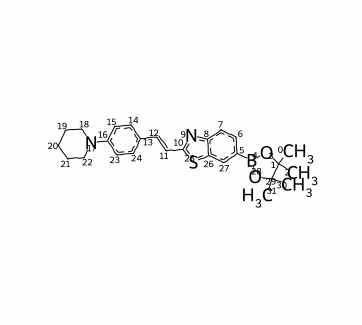 CC1(C)OB(c2ccc3nc(C=Cc4ccc(N5CCCCC5)cc4)sc3c2)OC1(C)C